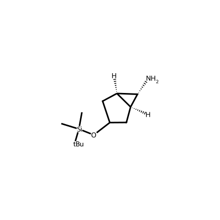 CC(C)(C)[Si](C)(C)OC1C[C@@H]2[C@@H](N)[C@@H]2C1